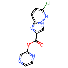 O=C(Oc1cnccn1)c1cn2nc(Cl)ccc2n1